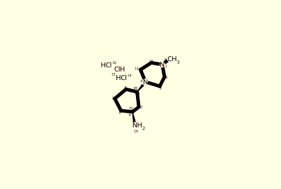 CN1CCN([C@@H]2CCC[C@H](N)C2)CC1.Cl.Cl.Cl